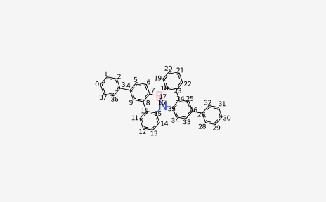 c1ccc(-c2ccc3c(c2)-c2ccccc2N2B3c3ccccc3-c3cc(-c4ccccc4)ccc32)cc1